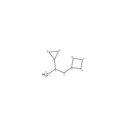 CC([CH]C1CCC1)C1CC1